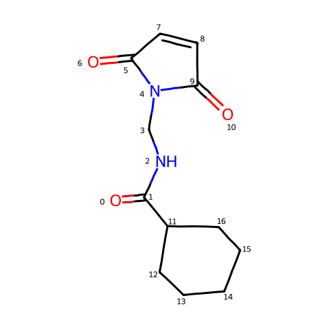 O=C(NCN1C(=O)C=CC1=O)C1CCCCC1